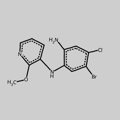 COc1ncccc1Nc1cc(Br)c(Cl)cc1N